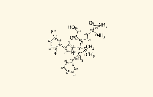 CC(C)(C)C(c1cc(-c2cc(F)ccc2F)cn1Cc1ccccc1)N(CCC(N)C(N)=O)C(=O)CO